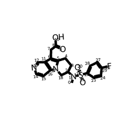 CN(C1CCc2c(CC(=O)O)c3cnccc3n2C1)S(=O)(=O)c1ccc(F)cc1